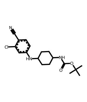 CC(C)(C)OC(=O)NC1CCC(Nc2ccc(C#N)c(Cl)c2)CC1